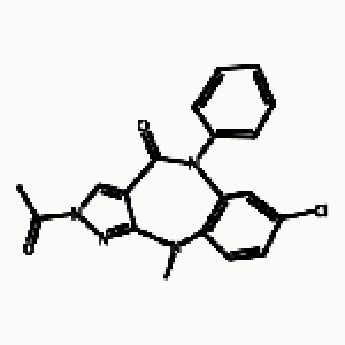 CC(=O)n1cc2c(n1)N(C)c1ccc(Cl)cc1N(c1ccccc1)C2=O